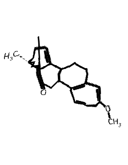 COc1ccc2c(c1)CCC1C3=CC[C@@]4(C)CCC(=O)[C@@]34CCC21